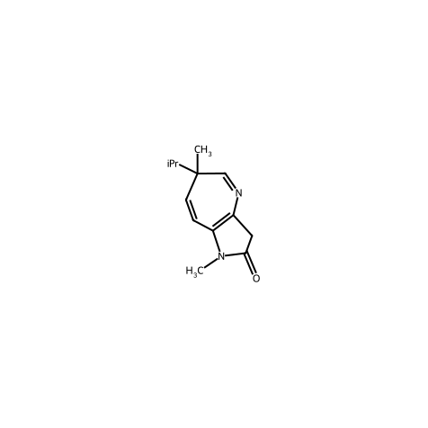 CC(C)C1(C)C=CC2=C(CC(=O)N2C)N=C1